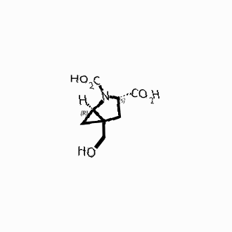 O=C(O)[C@@H]1CC2(CO)C[C@H]2N1C(=O)O